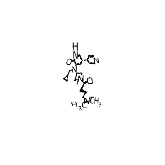 CN(C)CC=CC(=O)N1CC(N(CC2CC2)c2cc(-c3ccncc3)c[nH]c2=O)C1